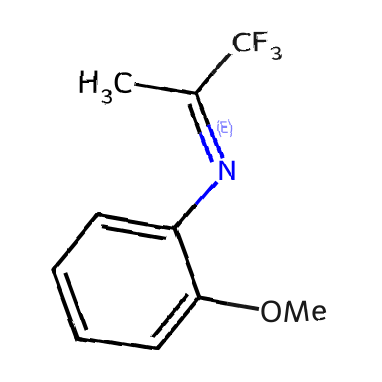 COc1ccccc1/N=C(\C)C(F)(F)F